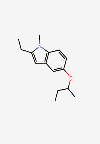 CCc1cc2cc(OC(C)CC)ccc2n1C